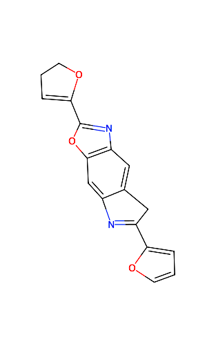 C1=C(c2nc3cc4c(cc3o2)N=C(c2ccco2)C4)OCC1